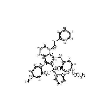 CC(C)(c1cnco1)c1c(Cc2ccc(C(=O)O)cc2)c2c(OCc3ccccc3)cccc2n1-c1ccc(F)cc1